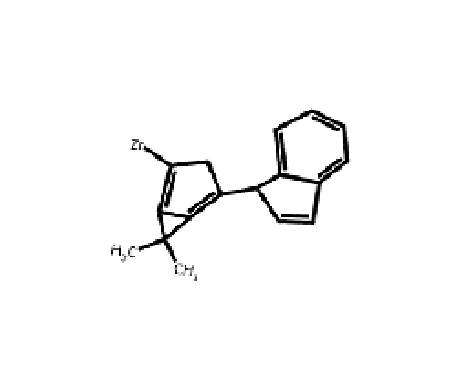 CC1(C)C2=[C]([Zr])CC(C3C=Cc4ccccc43)=C21